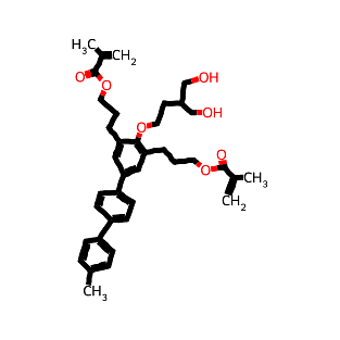 C=C(C)C(=O)OCCCc1cc(-c2ccc(-c3ccc(C)cc3)cc2)cc(CCCOC(=O)C(=C)C)c1OCCC(CO)CO